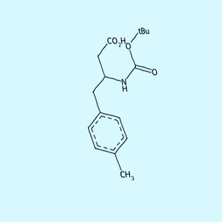 Cc1ccc(CC(CC(=O)O)NC(=O)OC(C)(C)C)cc1